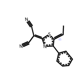 C/C=c1\sc(=C(C#N)C#N)nc1-c1ccccc1